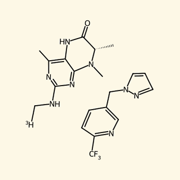 FC(F)(F)c1ccc(Cn2cccn2)cn1.[3H]CNc1nc(C)c2c(n1)N(C)[C@@H](C)C(=O)N2